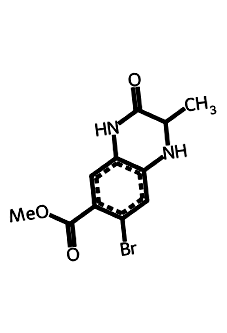 COC(=O)c1cc2c(cc1Br)NC(C)C(=O)N2